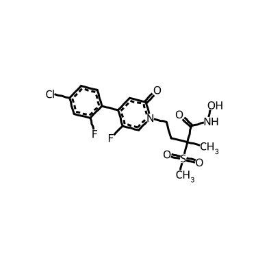 CC(CCn1cc(F)c(-c2ccc(Cl)cc2F)cc1=O)(C(=O)NO)S(C)(=O)=O